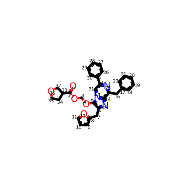 O=C(OCOc1c(Cc2ccco2)nc2c(Cc3ccccc3)nc(-c3ccccc3)cn12)C1CCOC1